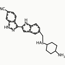 N#Cc1ccc2c(-c3cc4cc(C[AsH]C5CCC(N)CC5)ccc4[nH]3)n[nH]c2c1